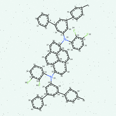 Cc1ccc(-c2cc(-c3ccccc3)cc(N(c3cccc(F)c3F)c3ccc4ccc5c(N(c6cc(-c7ccccc7)cc(-c7ccc(C)cc7)c6)c6cccc(F)c6F)ccc6ccc3c4c65)c2)cc1